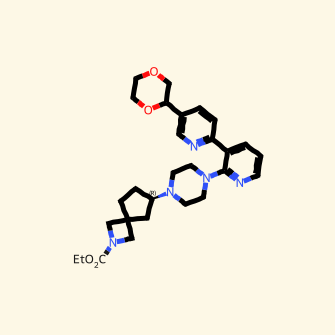 CCOC(=O)N1CC2(CC[C@@H](N3CCN(c4ncccc4-c4ccc(C5COCCO5)cn4)CC3)C2)C1